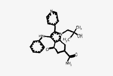 CC(C)(O)Cn1c2c(c(Nc3ccccc3)c1-c1ccncc1)C(=O)CC(C(N)=O)C2